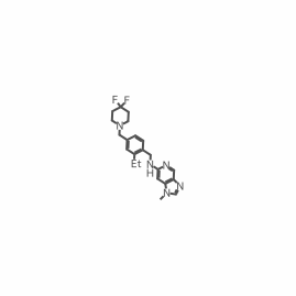 CCc1cc(CN2CCC(F)(F)CC2)ccc1CNc1cc2c(cn1)ncn2C